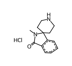 CN1C(=O)c2ccccc2C12CCNCC2.Cl